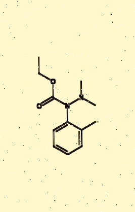 [CH2]c1ccccc1N(C(=O)OCC)N(C)C